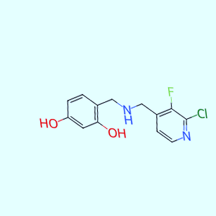 Oc1ccc(CNCc2ccnc(Cl)c2F)c(O)c1